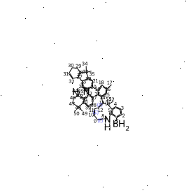 Bc1cccc2c1N/C=C/C=C\C=C(/c1cc(C)cc(-c3cc4c(cc3N)C3=C(CCC=C3)C4(C)C)c1-c1ccc3c(c1)C(C)(C)CCC3(C)C)C2(C)C